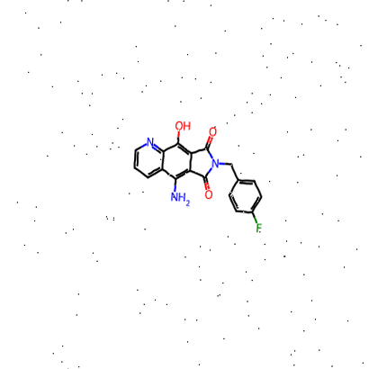 Nc1c2c(c(O)c3ncccc13)C(=O)N(Cc1ccc(F)cc1)C2=O